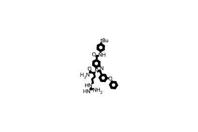 CC(C)(C)c1ccc(NC(=O)c2ccc3c(c2)nc(-c2cccc(Oc4ccccc4)c2)n3C(CCCNC(=N)N)C(N)=O)cc1